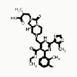 CCOC(=O)C1=C(CN2CCN3C(=S)N(C[C@@H](C)C(=O)O)C[C@@H]3C2)NC(c2ncoc2C)=NC1c1cccc(F)c1C